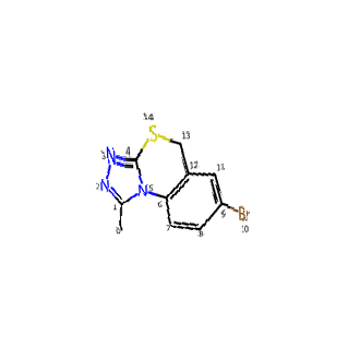 Cc1nnc2n1-c1ccc(Br)cc1CS2